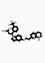 O=C(O)CC(c1cccc(C(F)(F)F)c1)n1ccc2cc(OCCc3ccc4c(n3)NCCC4)ccc21